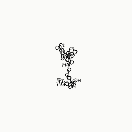 CCC(=O)N1CCN(c2nc(=O)n(-c3ccc(C(=O)NCCOCCOc4ccc(-n5c(O)nnc5-c5cc(C(C)C)c(O)cc5O)cc4)nc3)c3nc(-c4c(O)cccc4F)c(F)cc23)[C@@H](C)C1